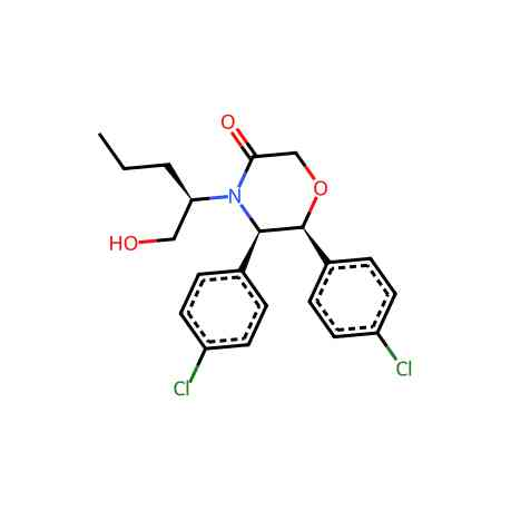 CCC[C@H](CO)N1C(=O)CO[C@@H](c2ccc(Cl)cc2)[C@H]1c1ccc(Cl)cc1